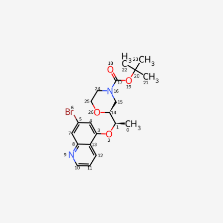 C[C@@H](Oc1cc(Br)cc2ncccc12)[C@@H]1CN(C(=O)OC(C)(C)C)CCO1